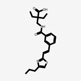 CCCc1csc(C=Cc2cccc(C(=O)NCC(CC)(CC)C(=O)O)c2)n1